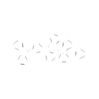 c1ccc(-c2cccc([Si]3(c4ccccc4)c4ccccc4-n4c5ccc(-n6c7ccccc7c7ccccc76)cc5c5cccc3c54)c2)cc1